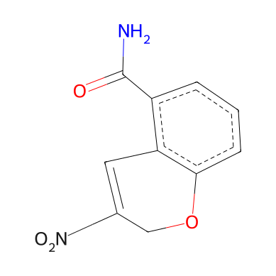 NC(=O)c1cccc2c1C=C([N+](=O)[O-])CO2